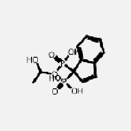 CC(O)OP(=O)(O)C1(P(=O)(O)O)C=Cc2ccccc21